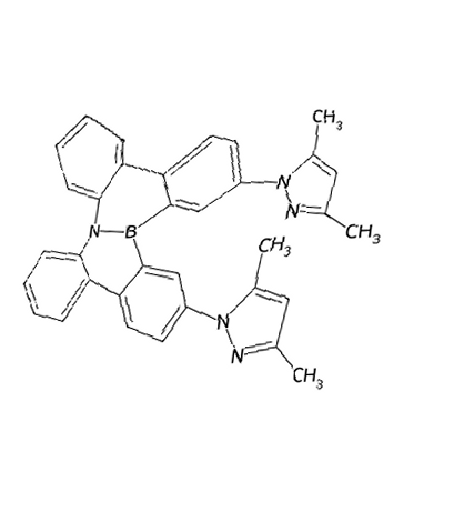 Cc1cc(C)n(-c2ccc3c(c2)B2c4cc(-n5nc(C)cc5C)ccc4-c4ccccc4N2c2ccccc2-3)n1